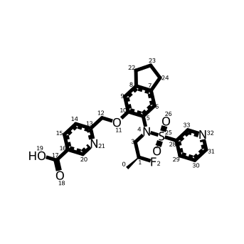 C[C@H](F)CN(c1cc2c(cc1OCc1ccc(C(=O)O)cn1)CCC2)S(=O)(=O)c1cccnc1